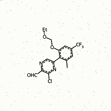 CCOCOc1cc(C(F)(F)F)cc(C)c1-c1cnc(C=O)c(Cl)n1